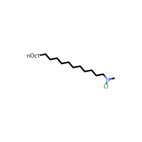 CCCCCCCCCCCCCCCCCCCN(C)Cl